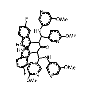 COc1cncc(NC(c2ccc(OC)nc2)C(C(=O)C(c2c[nH]c3ccc(F)cc23)C(Nc2cncc(OC)c2)c2ccc(OC)nc2)c2c[nH]c3ccc(F)cc23)c1